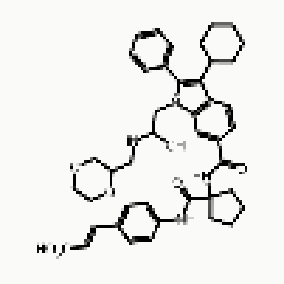 O=C(O)/C=C/c1ccc(NC(=O)C2(NC(=O)c3ccc4c(C5CCCCC5)c(-c5ccccc5)n(CC(O)NCC5COCCO5)c4c3)CCCC2)cc1